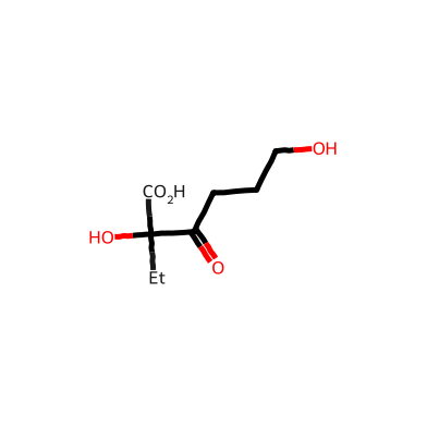 CCC(O)(C(=O)O)C(=O)CCCO